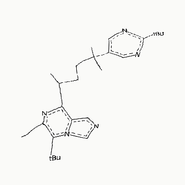 Cc1nc(C(C)CCC(C)(C)c2cnc(C(C)(C)C)nc2)c2cncn2c1C(C)(C)C